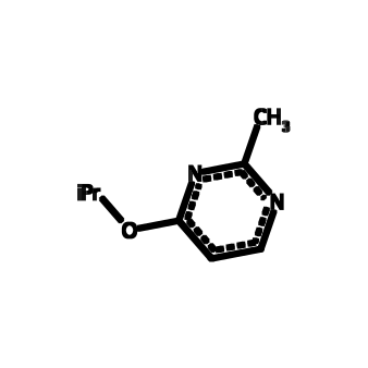 Cc1nccc(OC(C)C)n1